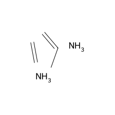 C=C.C=CC.N.N